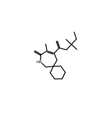 C=C(CC(C)(C)CC)C1=C(C)C(=C)NCC2(CCCCC2)C1